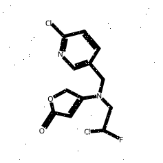 O=C1C=C(N(Cc2ccc(Cl)nc2)CC(F)Cl)CO1